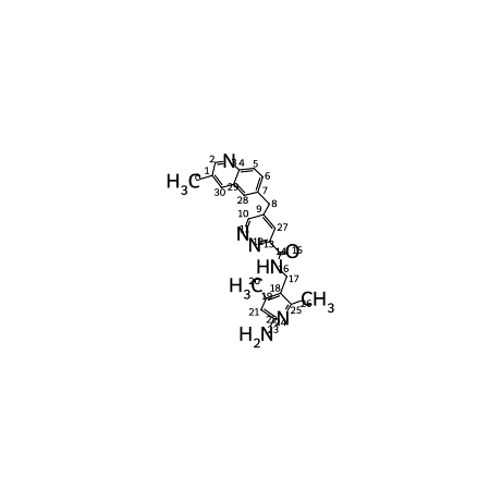 Cc1cnc2ccc(Cc3cnnc(C(=O)NCc4c(C)cc(N)nc4C)c3)cc2c1